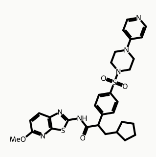 COc1ccc2nc(NC(=O)C(CC3CCCC3)c3ccc(S(=O)(=O)N4CCN(c5ccncc5)CC4)cc3)sc2n1